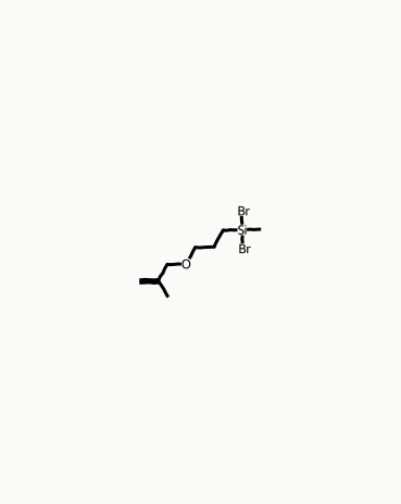 C=C(C)COCCC[Si](C)(Br)Br